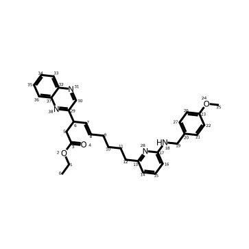 CCOC(=O)CC(C=CCCCCc1cccc(NCc2ccc(OC)cc2)n1)c1cnc2ccccc2n1